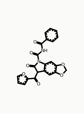 O=C(NC(=O)N1C(=O)C(C(=O)c2ccco2)c2cc3c(cc21)OCO3)c1ccccc1